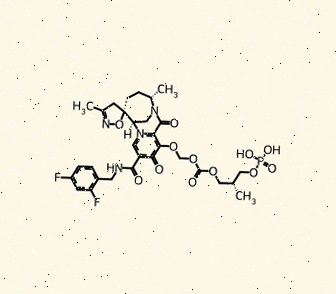 CC1=NO[C@@]2(CC[C@H](C)N3C[C@H]2n2cc(C(=O)NCc4ccc(F)cc4F)c(=O)c(OCOC(=O)OC[C@@H](C)COP(=O)(O)O)c2C3=O)C1